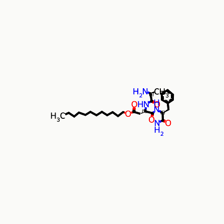 CCCCCCCCCCCCOC(=O)C[C@H](NC(=O)[C@H](C)N)C(=O)N[C@@H](Cc1ccccc1)C(N)=O